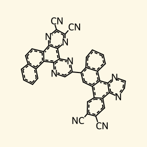 N#Cc1cc2c(cc1C#N)c1nccnc1c1c3ccccc3c(-c3cnc4c(n3)c3nc(C#N)c(C#N)nc3c3ccc5ccccc5c34)cc21